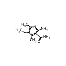 CCc1c(C)nc(N)c(C(N)=O)c1C